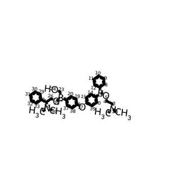 CN(C)CCOB(c1ccccc1)c1ccc(Oc2ccc(B(CO)OCC(c3ccccc3)N(C)C)cc2)cc1